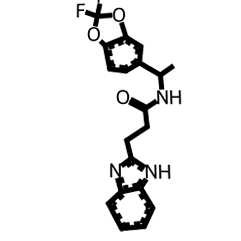 CC(NC(=O)CCc1nc2ccccc2[nH]1)c1ccc2c(c1)OC(F)(F)O2